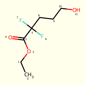 CCOC(=O)C(F)(F)CCCO